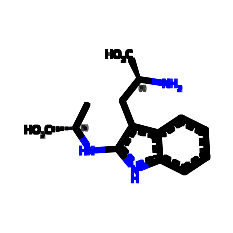 C[C@H](Nc1[nH]c2ccccc2c1C[C@H](N)C(=O)O)C(=O)O